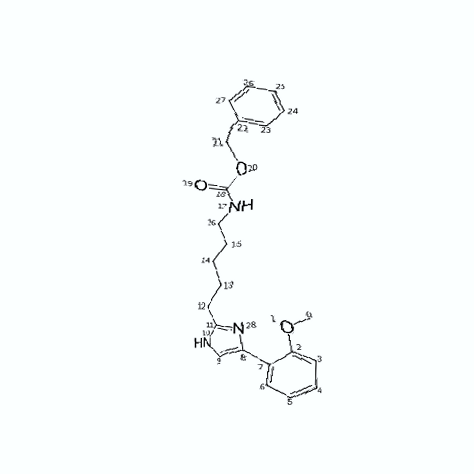 COc1ccccc1-c1c[nH]c(CCCCCNC(=O)OCc2ccccc2)n1